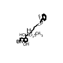 CS(=O)(=O)O.O=c1ccc2c(C(O)CNCCCCCCOCC(F)(F)c3ccccc3)ccc(O)c2[nH]1